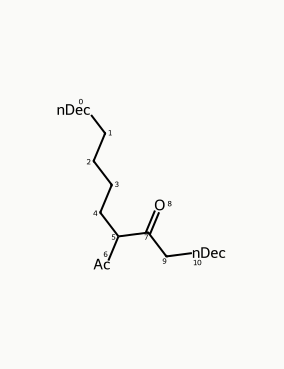 CCCCCCCCCCCCCCC(C(C)=O)C(=O)CCCCCCCCCCC